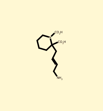 NCC=CCC1(C(=O)O)CCCCN1C(=O)O